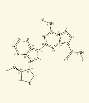 CNC(=O)c1cnn2c(NC)cc(-c3cn([C@@H]4CCC[C@H]4OC)c4ncccc34)nc12